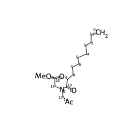 C=CCCCCCCCCC(=O)N(CC(C)=O)CC(=O)OC